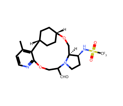 Cc1ccnc2c1[C@H]1CC[C@H](CC1)OC[C@H]1[C@@H](NS(=O)(=O)C(F)(F)F)CCN1C(C=O)CO2